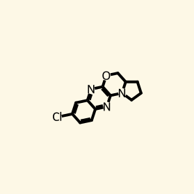 Clc1ccc2nc3c(nc2c1)OCC1CCCN31